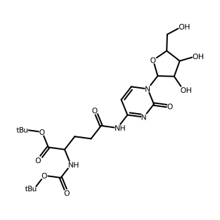 CC(C)(C)OC(=O)NC(CCC(=O)Nc1ccn(C2OC(CO)C(O)C2O)c(=O)n1)C(=O)OC(C)(C)C